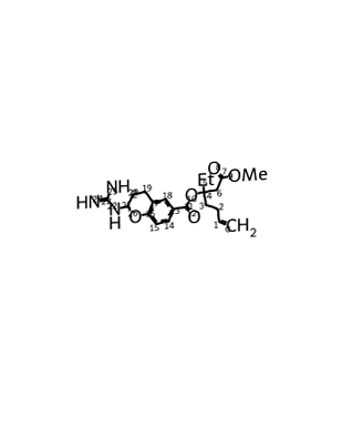 C=CCCC(CC)(CC(=O)OC)OC(=O)c1ccc2c(c1)CCC(NC(=N)N)O2